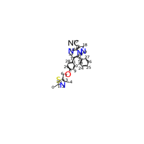 Cc1nc(C)c(COc2ccc(-c3cnc4c(C#N)cnn4c3-c3ccccc3)cc2)s1